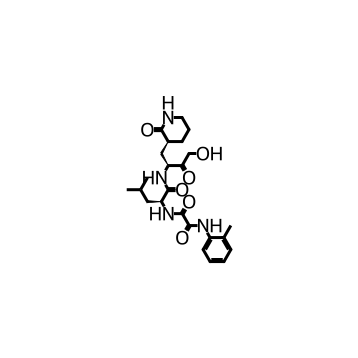 Cc1ccccc1NC(=O)C(=O)N[C@@H](CC(C)C)C(=O)N[C@@H](C[C@@H]1CCCNC1=O)C(=O)CO